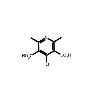 CCc1c(C(=O)O)c(C)nc(C)c1C(=O)O